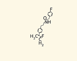 C=C(F)C(=C)c1ccc(CCCNC(=O)Cc2ccc(F)cc2)cc1